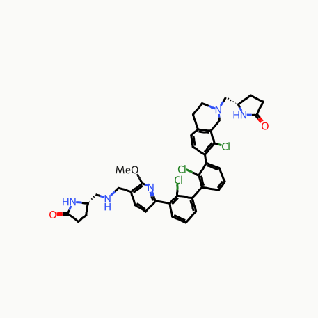 COc1nc(-c2cccc(-c3cccc(-c4ccc5c(c4Cl)CN(C[C@@H]4CCC(=O)N4)CC5)c3Cl)c2Cl)ccc1CNC[C@@H]1CCC(=O)N1